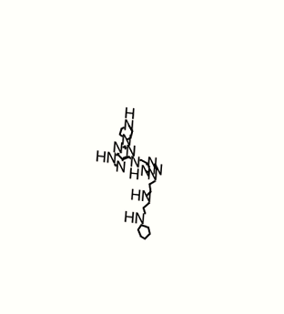 c1nc2c(NCc3nnn(CCCNCCCNC4CCCCC4)n3)nc(N3CCNCC3)nc2[nH]1